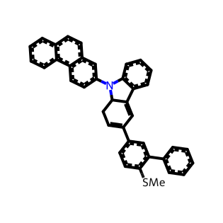 CSc1ccc(C2=CCC3C(=C2)c2ccccc2N3c2ccc3c(ccc4ccccc43)c2)cc1-c1ccccc1